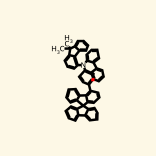 CC1(C)c2ccccc2-c2c(N(c3ccc(-c4cccc5c4-c4ccccc4C54c5ccccc5-c5ccccc54)cc3)c3ccccc3-c3ccccc3)cccc21